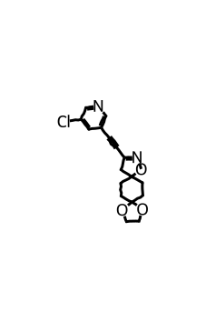 Clc1cncc(C#CC2=NOC3(CCC4(CC3)OCCO4)C2)c1